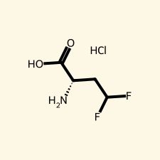 Cl.N[C@@H](CC(F)F)C(=O)O